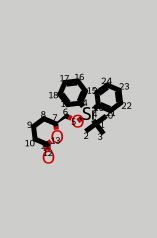 CC(C)(C)[Si](OC[C@@H]1CCCC(=O)O1)(c1ccccc1)c1ccccc1